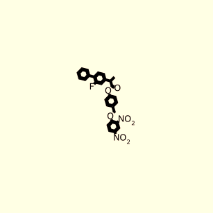 CC(C(=O)Oc1ccc(COc2ccc([N+](=O)[O-])cc2[N+](=O)[O-])cc1)c1ccc(-c2ccccc2)c(F)c1